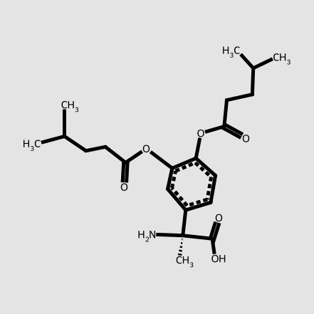 CC(C)CCC(=O)Oc1ccc([C@](C)(N)C(=O)O)cc1OC(=O)CCC(C)C